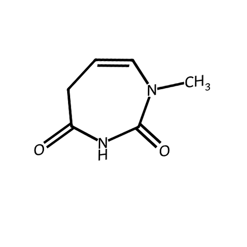 CN1C=CCC(=O)NC1=O